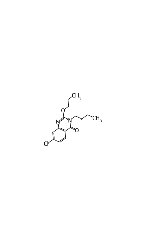 CCCCn1c(OCCC)nc2cc(Cl)ccc2c1=O